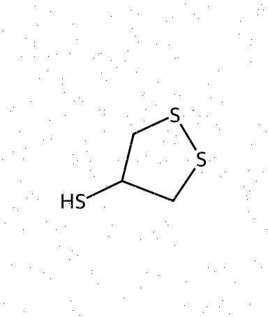 SC1CSSC1